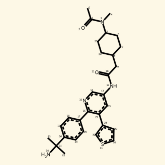 CC(=O)N(C)C1CCC(CC(=O)Nc2cnc(-c3ccc(C(C)(C)N)cc3)c(-c3ccsc3)c2)CC1